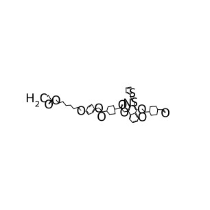 C=CC(=O)OCCCCCCOc1ccc(OC(=O)C2CCC(C(=O)Oc3c4ccccc4c(OC(=O)C4CCC(C=O)CC4)c4sc(-c5cccs5)nc34)CC2)cc1